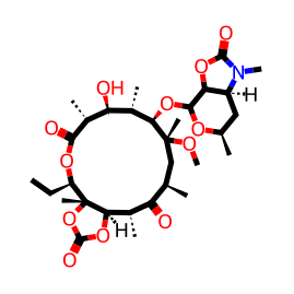 CC[C@H]1OC(=O)[C@H](C)[C@@H](O)[C@H](C)[C@@H](OC2O[C@H](C)C[C@H]3C2OC(=O)N3C)[C@](C)(OC)C[C@@H](C)C(=O)[C@H](C)[C@H]2OC(=O)O[C@@]21C